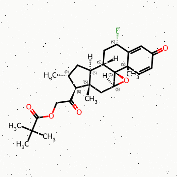 C[C@@H]1C[C@H]2[C@@H]3C[C@H](F)C4=CC(=O)C=C[C@]4(C)[C@@]34O[C@H]4C[C@]2(C)[C@H]1C(=O)COC(=O)C(C)(C)C